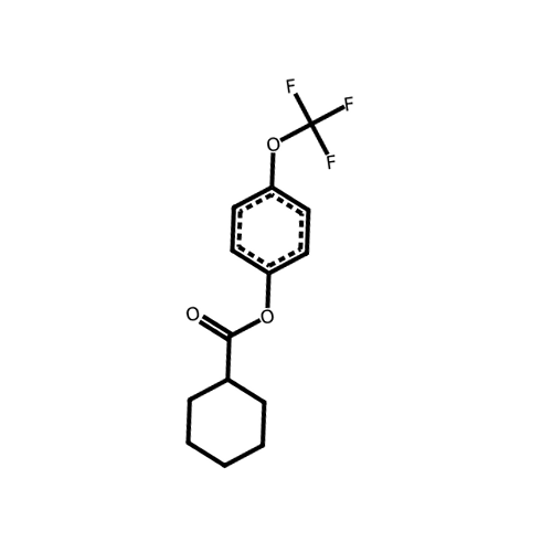 O=C(Oc1ccc(OC(F)(F)F)cc1)C1CCCCC1